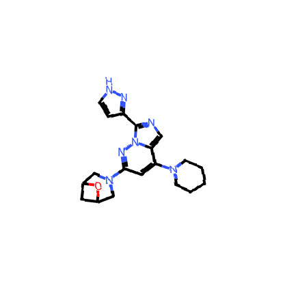 c1cc(-c2ncc3c(N4CCCCC4)cc(N4CC5CC(C4)O5)nn23)n[nH]1